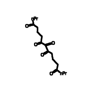 CCCC(=O)CCCC(=O)C(=O)C(=O)CCCC(=O)CCC